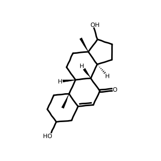 C[C@]12CCC(O)CC1=CC(=O)[C@@H]1[C@H]2CC[C@]2(C)C(O)CC[C@@H]12